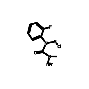 CCCN(C)C(=O)N(SCl)c1ccccc1F